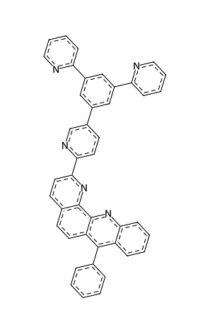 c1ccc(-c2c3ccccc3nc3c2ccc2ccc(-c4ccc(-c5cc(-c6ccccn6)cc(-c6ccccn6)c5)cn4)nc23)cc1